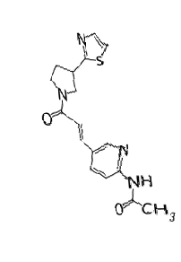 CC(=O)Nc1ccc(/C=C/C(=O)N2CCC(c3nccs3)C2)cn1